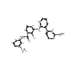 CNc1nccc(-c2cccnc2Oc2cccc(C(=O)Nc3cccc(C(F)(F)F)c3)c2F)n1